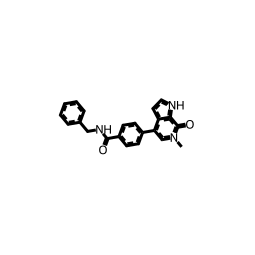 Cn1cc(-c2ccc(C(=O)NCc3ccccc3)cc2)c2cc[nH]c2c1=O